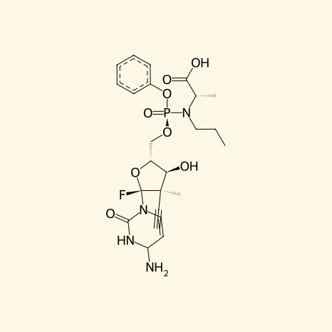 C#C[C@]1(C)[C@H](O)[C@@H](CO[P@@](=O)(Oc2ccccc2)N(CCC)[C@@H](C)C(=O)O)O[C@@]1(F)N1C=CC(N)NC1=O